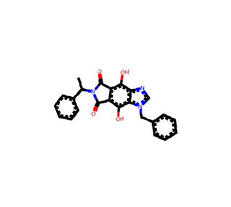 CC(c1ccccc1)N1C(=O)c2c(c(O)c3c(ncn3Cc3ccccc3)c2O)C1=O